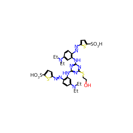 CCN(CC)c1ccc(/N=N/c2ccc(S(=O)(=O)O)s2)c(Nc2nc(Nc3cc(N(CC)CC)ccc3/N=N/c3ccc(S(=O)(=O)O)s3)nc(SCCO)n2)c1